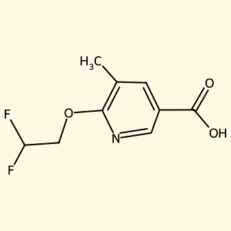 Cc1cc(C(=O)O)cnc1OCC(F)F